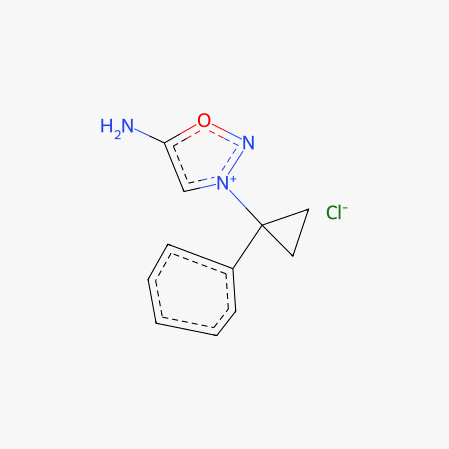 Nc1c[n+](C2(c3ccccc3)CC2)no1.[Cl-]